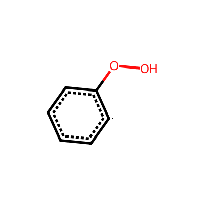 OOc1[c]cccc1